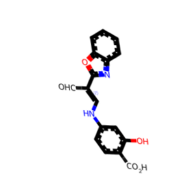 O=C/C(=C\Nc1ccc(C(=O)O)c(O)c1)c1nc2ccccc2o1